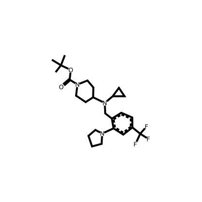 CC(C)(C)OC(=O)N1CCC(N(Cc2ccc(C(F)(F)F)cc2N2CCCC2)C2CC2)CC1